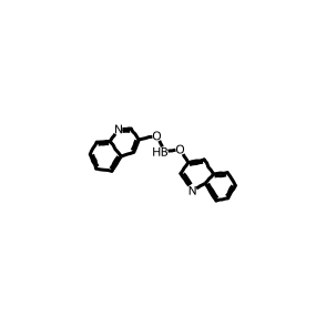 B(Oc1cnc2ccccc2c1)Oc1cnc2ccccc2c1